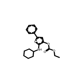 CCOC(=O)Oc1cc(-c2ccccc2)sc1NC1CCCCC1